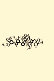 COc1cc(-n2ncc3c(-c4cccc(N(C(=O)OC(C)(C)C)c5nc(C(F)F)nc6cc(CN(C)[C@@H]7CCOC[C@@H]7O)cnc56)c4C)cccc32)cc(OC)c1C=O